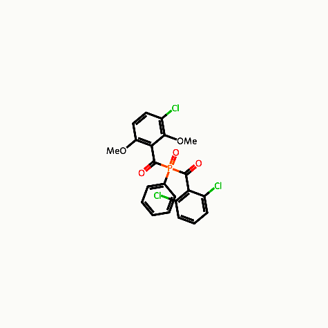 COc1ccc(Cl)c(OC)c1C(=O)P(=O)(C(=O)c1c(Cl)cccc1Cl)c1ccccc1